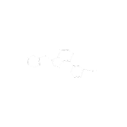 CC(=O)Nc1cccc(-c2ccnc3c(Cc4ccccc4)cnn23)c1